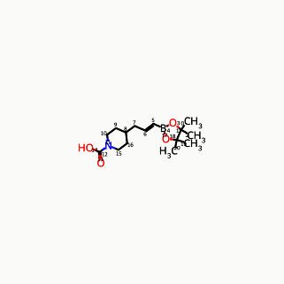 CC1(C)OB(C=CCC2CCN(C(=O)O)CC2)OC1(C)C